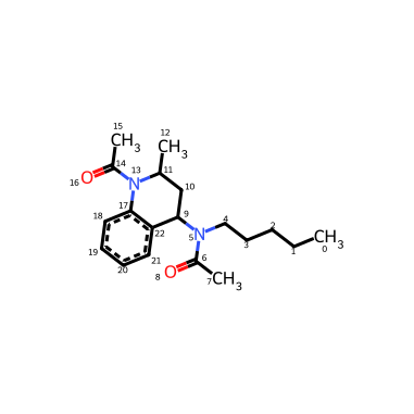 CCCCCN(C(C)=O)C1CC(C)N(C(C)=O)c2ccccc21